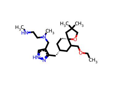 CCOCC1C[C@H](Cc2n[nH]cc2CN(C)CCNC)CC[C@@]12CC(C)(C)CO2